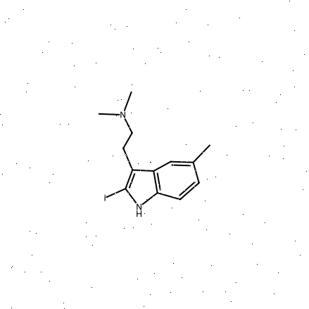 Cc1ccc2[nH]c(I)c(CCN(C)C)c2c1